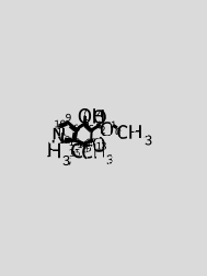 CCOC(=O)C1=C(O)c2ccncc2C(C)(C)C1=O